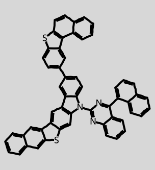 c1ccc2cc3c(cc2c1)sc1cc2c(cc13)c1cc(-c3ccc4sc5ccc6ccccc6c5c4c3)ccc1n2-c1nc(-c2cccc3ccccc23)c2ccccc2n1